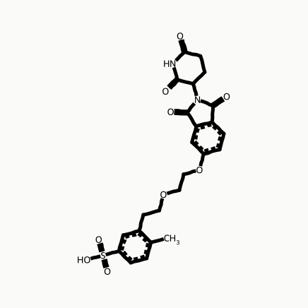 Cc1ccc(S(=O)(=O)O)cc1CCOCCOc1ccc2c(c1)C(=O)N(C1CCC(=O)NC1=O)C2=O